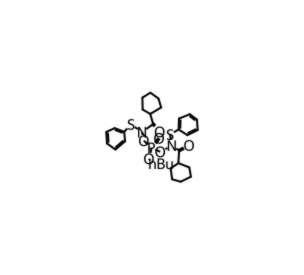 CCCCOP(=O)(ON(Sc1ccccc1)C(=O)C1CCCCC1)ON(Sc1ccccc1)C(=O)C1CCCCC1